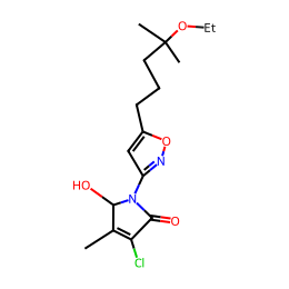 CCOC(C)(C)CCCc1cc(N2C(=O)C(Cl)=C(C)C2O)no1